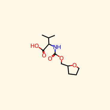 CC(C)C(NC(=O)OCC1CCCO1)C(=O)O